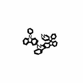 c1ccc(-n2c3ccccc3c3cc(-n4c5ccccc5c5cc6c(cc54)C(c4ccccc4)(c4ccncc4)c4ccccc4-6)ccc32)cc1